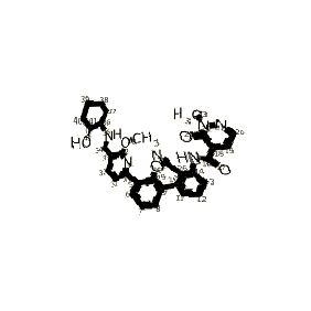 COc1nc(-c2cccc(-c3cccc(NC(=O)c4ccnn(C)c4=O)c3C#N)c2Cl)ccc1CNC1CCCC[C@@H]1O